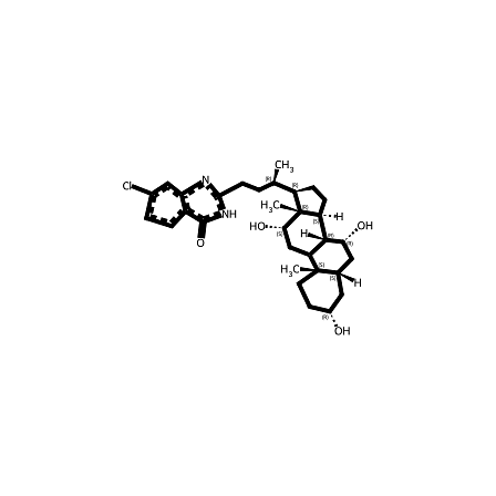 C[C@H](CCc1nc2cc(Cl)ccc2c(=O)[nH]1)[C@H]1CC[C@H]2[C@H]3C(C[C@H](O)[C@]12C)[C@@]1(C)CC[C@@H](O)C[C@H]1C[C@H]3O